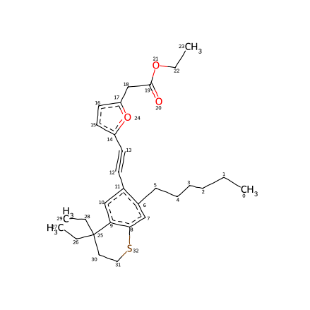 CCCCCCc1cc2c(cc1C#Cc1ccc(CC(=O)OCC)o1)C(CC)(CC)CCS2